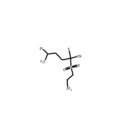 CCC(CCC(F)(C#N)S(=O)(=O)CCC(F)(F)F)C(F)(F)F